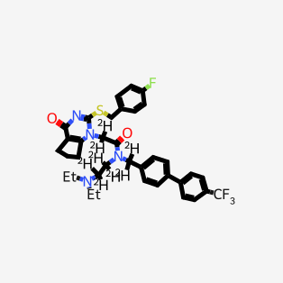 [2H]C([2H])(c1ccc(-c2ccc(C(F)(F)F)cc2)cc1)N(C(=O)C([2H])([2H])n1c(SCc2ccc(F)cc2)nc(=O)c2c1CCC2)C([2H])([2H])C([2H])([2H])N(CC)CC